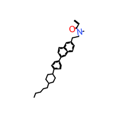 C=CC(=O)N(C)CCc1ccc2cc(-c3ccc(C4CCC(CCCCC)CC4)cc3)ccc2c1